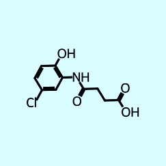 O=C(O)CCC(=O)Nc1cc(Cl)ccc1O